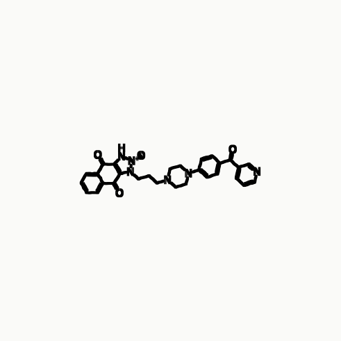 O=C(c1ccc(N2CCN(CCCn3c4c([nH][n+]3=O)C(=O)c3ccccc3C4=O)CC2)cc1)c1cccnc1